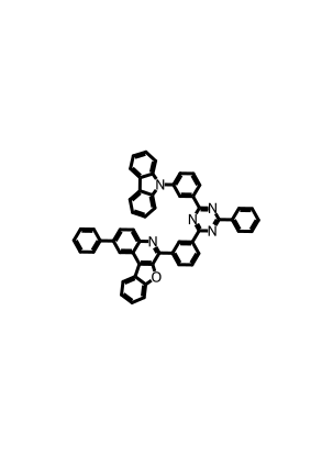 c1ccc(-c2ccc3nc(-c4cccc(-c5nc(-c6ccccc6)nc(-c6cccc(-n7c8ccccc8c8ccccc87)c6)n5)c4)c4oc5ccccc5c4c3c2)cc1